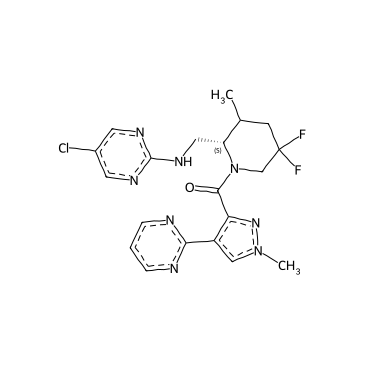 CC1CC(F)(F)CN(C(=O)c2nn(C)cc2-c2ncccn2)[C@@H]1CNc1ncc(Cl)cn1